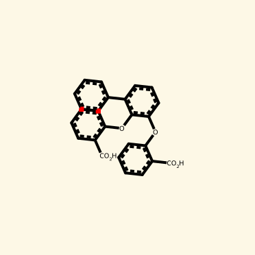 O=C(O)c1ccccc1Oc1cccc(-c2ccccc2)c1Oc1ccccc1C(=O)O